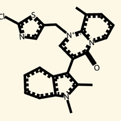 Cc1cccn2c(=O)c(-c3c(C)n(C)c4ccccc34)c[n+](Cc3cnc(Cl)s3)c12